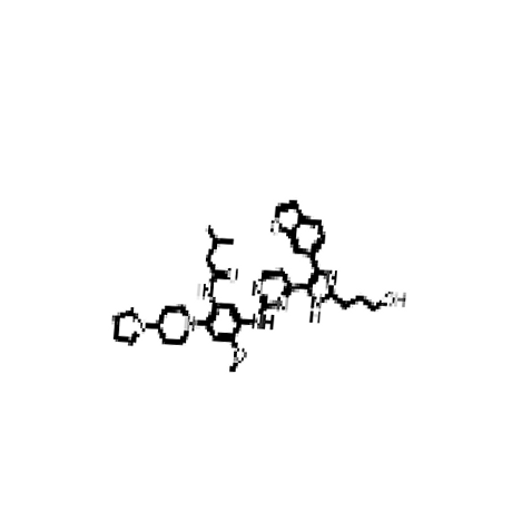 COc1cc(N2CCC(N3CCCC3)CC2)c(NC(=O)CC(C)C)cc1Nc1nccc(-c2[nH]c(CCCO)nc2-c2ccc3ccoc3c2)n1